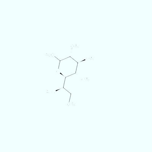 CC(=O)OC[C@@H](OC(C)=O)[C@H]1OC(OC(C)=O)[C@H](OC(C)=O)[C@@H](OC(C)=O)[C@@H]1OC(C)=O